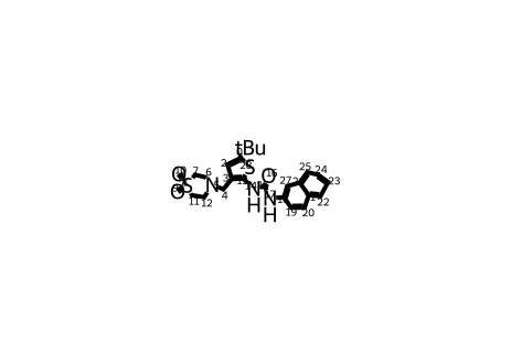 CC(C)(C)c1cc(CN2CCS(=O)(=O)CC2)c(NC(=O)Nc2ccc3ccccc3c2)s1